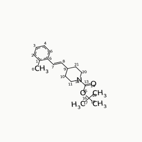 Cc1ccccc1/C=C/C1CCN(C(=O)OC(C)(C)C)CC1